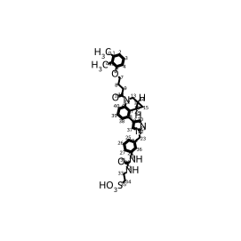 Cc1cccc(OCCCC(=O)N2C[C@@H]3C[C@@H]3c3c(-c4cnn(Cc5cccc(NC(=O)NCCS(=O)(=O)O)c5)c4)cccc32)c1C